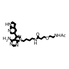 CC(=O)NCCOCCC(=O)NCCCCn1nc(-c2cnc3[nH]ccc3c2)c2c(N)ncnc21